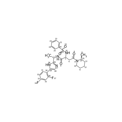 CC(NC(=O)C(CC(=O)N1CCCC[C@@H]1C)NS(=O)(=O)c1ccccc1)c1ncc(-c2ccc(F)cc2F)[nH]1